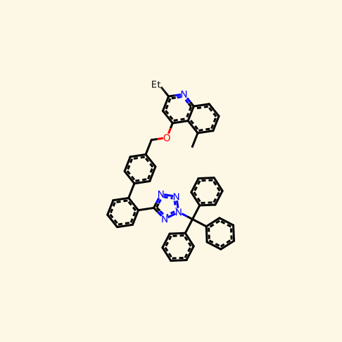 CCc1cc(OCc2ccc(-c3ccccc3-c3nnn(C(c4ccccc4)(c4ccccc4)c4ccccc4)n3)cc2)c2c(C)cccc2n1